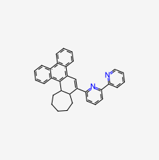 C1=C(c2cccc(-c3ccccn3)n2)C2CCCCCC2c2c1c1ccccc1c1ccccc21